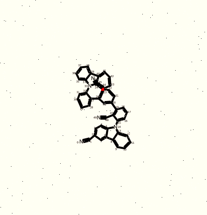 N#Cc1ccc2c(c1)c1ccccc1n2-c1cccc(-c2ccc(C#N)c(-c3ccccc3-n3c4ccccc4c4ccccc43)c2)c1C#N